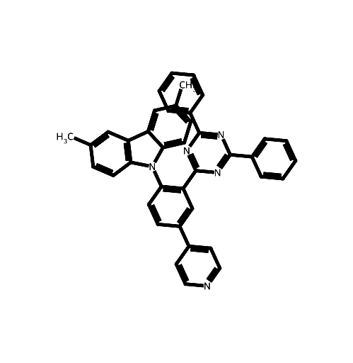 Cc1ccc2c(c1)c1cc(C)ccc1n2-c1ccc(-c2ccncc2)cc1-c1nc(-c2ccccc2)nc(-c2ccccc2)n1